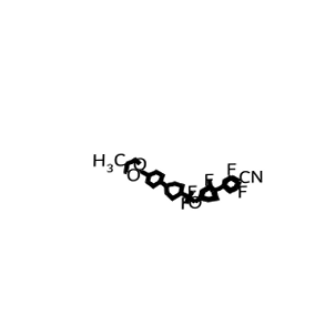 CC1COC(C2CCC(C3CCC(C(F)(F)Oc4ccc(-c5cc(F)c(C#N)c(F)c5)c(F)c4)CC3)CC2)OC1